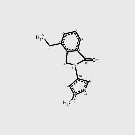 CCc1cccc2c1CN(c1cnn(C)c1)C2=O